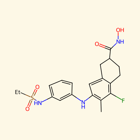 CCS(=O)(=O)Nc1cccc(Nc2cc3c(c(F)c2C)CCC(C(=O)NO)C3)c1